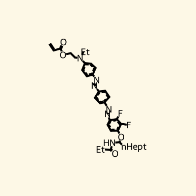 C=CC(=O)OCCN(CC)c1ccc(N=Nc2ccc(N=Nc3ccc(OC(CCCCCCC)NC(=O)CC)c(F)c3F)cc2)cc1